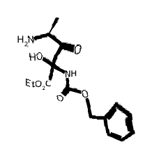 CCOC(=O)C(O)(NC(=O)OCc1ccccc1)C(=O)[C@H](C)N